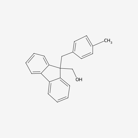 Cc1ccc(CC2(CO)c3ccccc3-c3ccccc32)cc1